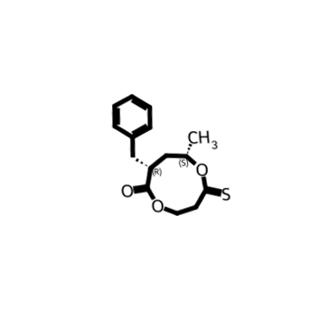 C[C@H]1C[C@@H](Cc2ccccc2)C(=O)OCCC(=S)O1